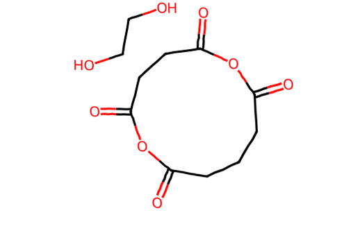 O=C1CCCC(=O)OC(=O)CCC(=O)O1.OCCO